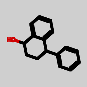 OC1CCC(c2ccccc2)c2ccccc21